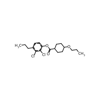 CCCOC1CCC(C(=O)Oc2ccc(CCC)c(Cl)c2Cl)CC1